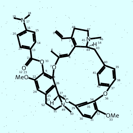 C=CC1=C2/C=C(\C)Oc3c(OC(=O)c4ccc(N(C)C)cc4)c(OC)cc4c3[C@H](Cc3ccc(OC)c(c3)Oc3ccc(cc3)C[C@@H]2N(C)CC1)N(C)CC4